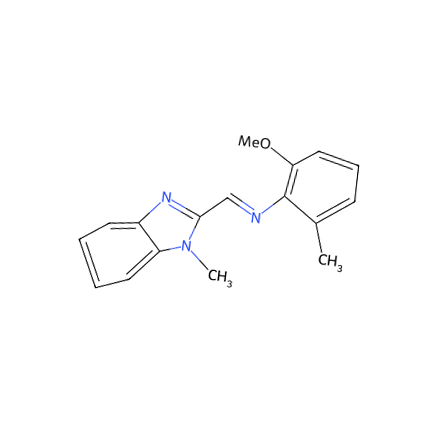 COc1cccc(C)c1N=Cc1nc2ccccc2n1C